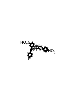 O=C(O)c1ccc(S(=O)(=O)Cc2ccn(-c3ccc([N+](=O)[O-])cc3)n2)c(C#Cc2ccc(F)cc2)c1